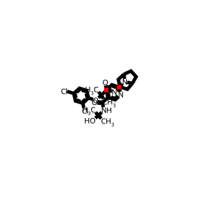 CC(C)(O)NC(=O)c1ccc(N2C3CCC2CC(NC(=O)C(C)(C)Oc2ccc(Cl)cc2Cl)C3)nc1